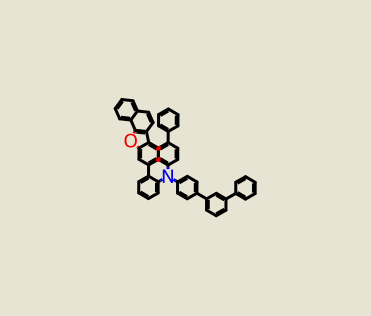 c1ccc(-c2ccc(N(c3ccc(-c4cccc(-c5ccccc5)c4)cc3)c3ccccc3-c3ccc4c(c3)oc3c5ccccc5ccc43)cc2)cc1